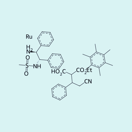 CCOC(=O)C(C(=O)O)C(CC#N)c1ccccc1.CS(=O)(=O)N[C@@H](c1ccccc1)[C@@H](N)c1ccccc1.Cc1c(C)c(C)c(C)c(C)c1C.[Ru]